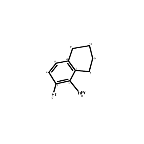 CCCc1c(CC)ccc2c1CCCC2